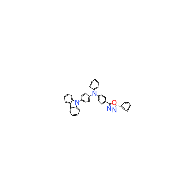 c1ccc(-c2nnc(-c3ccc(N(c4ccccc4)c4ccc(-n5c6ccccc6c6ccccc65)cc4)cc3)o2)cc1